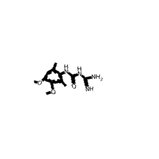 COc1cc(C)c(NC(=O)NC(=N)N)c(C)c1OC